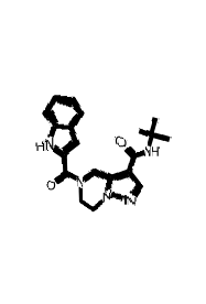 CC(C)(C)NC(=O)c1cnn2c1CN(C(=O)c1cc3ccccc3[nH]1)CC2